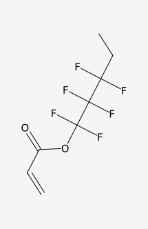 C=CC(=O)OC(F)(F)C(F)(F)C(F)(F)CC